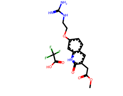 COC(=O)Cc1cc2ccc(OCCNC(=N)N)cc2[nH]c1=O.O=C(O)C(F)(F)F